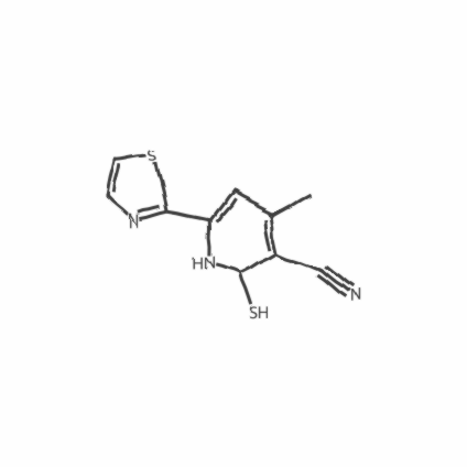 CC1=C(C#N)C(S)NC(c2nccs2)=C1